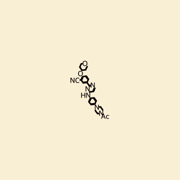 CC(=O)N1CCN(c2ccc(Nc3ccnc(-c4ccc(OC5CCOCC5)c(C#N)c4)n3)cc2)CC1